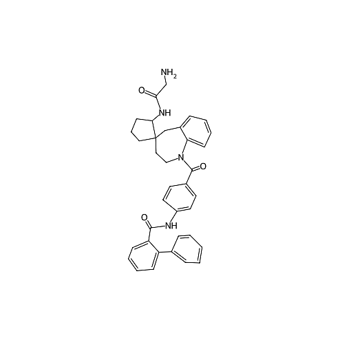 NCC(=O)NC1CCCC12CCN(C(=O)c1ccc(NC(=O)c3ccccc3-c3ccccc3)cc1)c1ccccc1C2